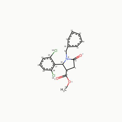 COC(=O)C1CC(=O)N(Cc2ccccc2)C1c1c(Cl)cccc1Cl